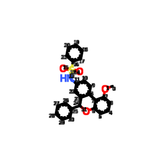 COc1cccc2c1-c1ccc(NS(=O)(=O)c3ccccc3)cc1C(c1ccccc1)O2